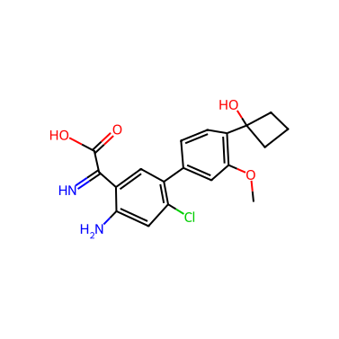 COc1cc(-c2cc(C(=N)C(=O)O)c(N)cc2Cl)ccc1C1(O)CCC1